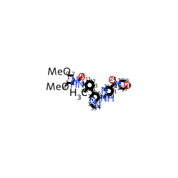 COCCN(CCOC)C(=O)Nc1cccc(-c2cc(Nc3ccc(C(=O)N4CCOCC4)cn3)c3nccn3c2)c1C